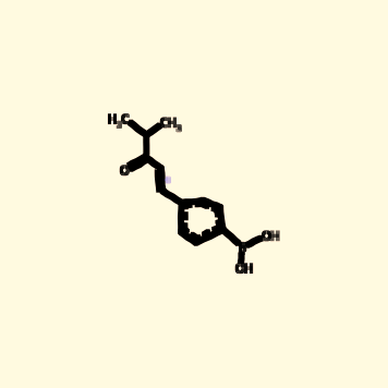 CC(C)C(=O)/C=C/c1ccc(B(O)O)cc1